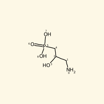 NCC(O)CP(=O)(O)O